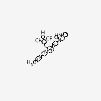 CN1CCN(C2CCN(C(=O)[C@H](CC(=O)N3CCC(N4CCc5ccccc5NC4=O)CC3)Cc3cc(Cl)c(O)c(C(F)(F)F)c3)CC2)CC1